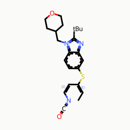 C/C=C(\C=C/N=C=O)Sc1ccc2c(c1)nc(C(C)(C)C)n2CC1CCOCC1